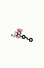 C[C@@H](O)[C@H]1C(=O)N(O)C(=O)CN1Cc1ccc(C=Cc2ccccc2)cc1